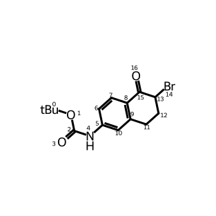 CC(C)(C)OC(=O)Nc1ccc2c(c1)CCC(Br)C2=O